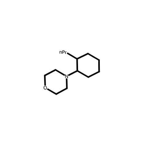 CCCC1CCCCC1N1CCOCC1